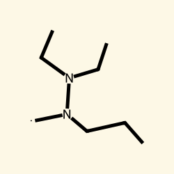 [CH2]N(CCC)N(CC)CC